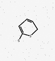 [S]C1=CC=CCS1